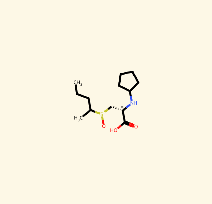 CCCC(C)[S+]([O-])C[C@H](NC1CCCC1)C(=O)O